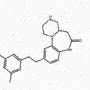 O=C1CC2CNCCN2c2cc(CCc3cc(F)cc(F)c3)ccc2N1